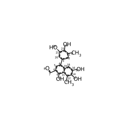 Cc1cc(-c2cc(C=O)c(O)c3c(C)c(O)c(O)cc23)cc(O)c1O